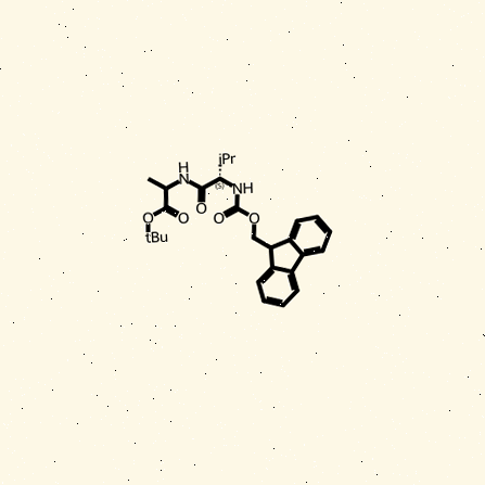 CC(NC(=O)[C@@H](NC(=O)OCC1c2ccccc2-c2ccccc21)C(C)C)C(=O)OC(C)(C)C